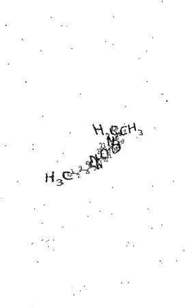 CCCCCc1cnc(-c2ccc(C3=NC(C(C)C)CO3)cc2)nc1